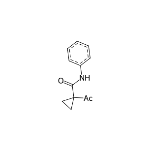 CC(=O)C1(C(=O)Nc2ccccc2)CC1